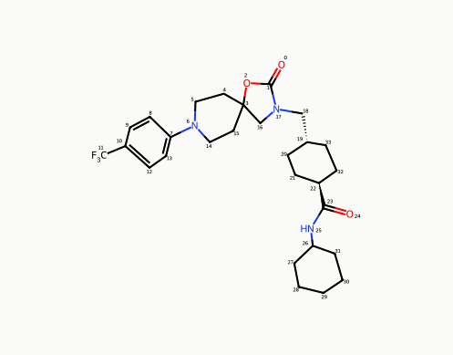 O=C1OC2(CCN(c3ccc(C(F)(F)F)cc3)CC2)CN1C[C@H]1CC[C@H](C(=O)NC2CCCCC2)CC1